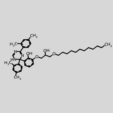 CCCCCCCCCCCCOCC(O)COc1cccc(C2(c3ccc(C)cc3C)N=C(c3ccc(C)cc3C)N=CN2)c1O